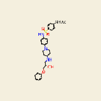 CC(=O)Nc1ccc(S(=O)(=O)Nc2ccc(N3CCC(NC[C@H](O)COc4ccccc4)CC3)cc2)cc1